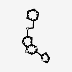 [c]1nc2ccc(OCc3ccccc3)cc2nc1-c1cccs1